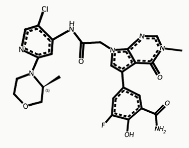 C[C@H]1COCCN1c1cc(NC(=O)Cn2cc(-c3cc(F)c(O)c(C(N)=O)c3)c3c(=O)n(C)cnc32)c(Cl)cn1